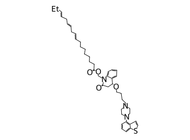 CCC=CCC=CCC=CCCCCCCCC(=O)OCN1C(=O)CC(OCCCCN2CCN(c3cccc4sccc34)CC2)c2ccccc21